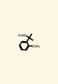 COc1ccccc1C(C)(C)NC(C)=O